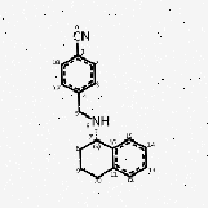 N#Cc1ccc(CN[C@H]2CCCc3ccccc32)cc1